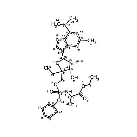 CCOC(=O)[C@@H](C)NP(=O)(OC[C@@]1(CCl)O[C@@H](n2cnc3c(N(C)C)nc(C)nc32)[C@H](F)[C@@H]1O)Oc1ccccc1